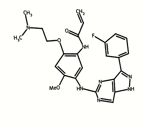 C=CC(=O)Nc1cc(Nc2ncc3[nH]nc(-c4cccc(F)c4)c3n2)c(OC)cc1OCCN(C)C